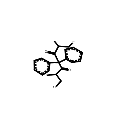 CC(CCl)C(=O)C(C(=O)C(C)CCl)(c1ccccc1)c1ccccc1